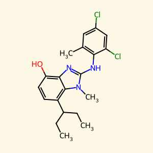 CCC(CC)c1ccc(O)c2nc(Nc3c(C)cc(Cl)cc3Cl)n(C)c12